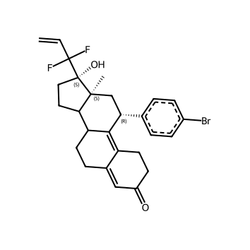 C=CC(F)(F)[C@]1(O)CCC2C3CCC4=CC(=O)CCC4=C3[C@@H](c3ccc(Br)cc3)C[C@@]21C